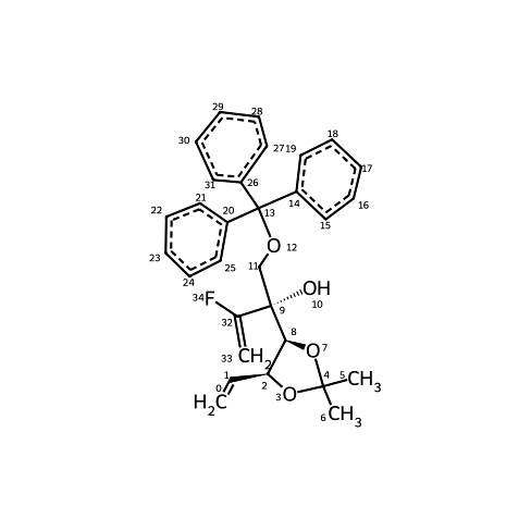 C=C[C@@H]1OC(C)(C)O[C@@H]1[C@](O)(COC(c1ccccc1)(c1ccccc1)c1ccccc1)C(=C)F